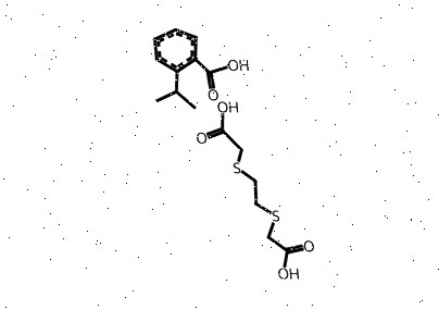 CC(C)c1ccccc1C(=O)O.O=C(O)CSCCSCC(=O)O